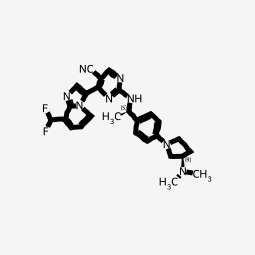 C[C@H](Nc1ncc(C#N)c(-c2cnc3c(C(F)F)cccn23)n1)c1ccc(N2CC[C@@H](N(C)C)C2)cc1